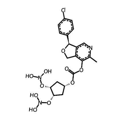 Cc1ncc2c(c1OC(=O)O[C@@H]1C[C@H](ON(O)O)[C@H](ON(O)O)C1)CO[C@H]2c1ccc(Cl)cc1